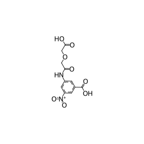 O=C(O)COCC(=O)Nc1cc(C(=O)O)cc([N+](=O)[O-])c1